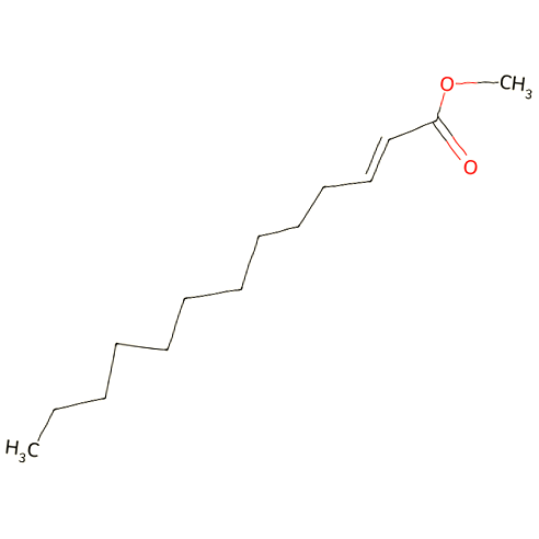 CCCCCCCCCCC=CC(=O)OC